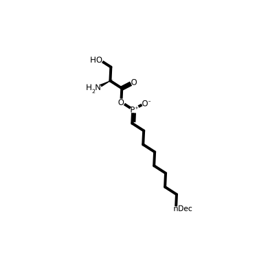 CCCCCCCCCCCCCCCCC/C=[P+](\[O-])OC(=O)[C@@H](N)CO